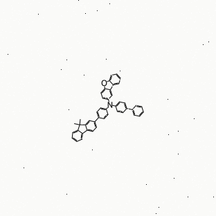 CC1(C)c2ccccc2-c2ccc(-c3ccc(N(c4ccc(-c5ccccc5)cc4)c4ccc5oc6ccccc6c5c4)cc3)cc21